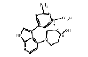 Nc1nccc(-c2c[nH]c3nccc(N4CC[C@H](O)[C@@H](NC(=O)O)C4)c23)n1